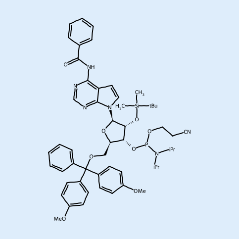 COc1ccc(C(OC[C@H]2O[C@@H](n3ccc4c(NC(=O)c5ccccc5)ncnc43)[C@H](O[Si](C)(C)C(C)(C)C)[C@@H]2OP(OCCC#N)N(C(C)C)C(C)C)(c2ccccc2)c2ccc(OC)cc2)cc1